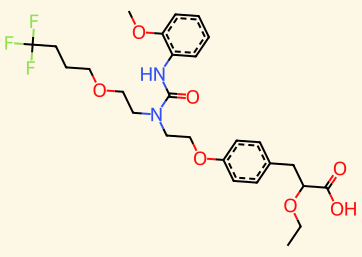 CCOC(Cc1ccc(OCCN(CCOCCCC(F)(F)F)C(=O)Nc2ccccc2OC)cc1)C(=O)O